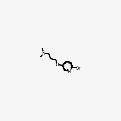 CN(C)CCCOc1ccc(Br)nc1